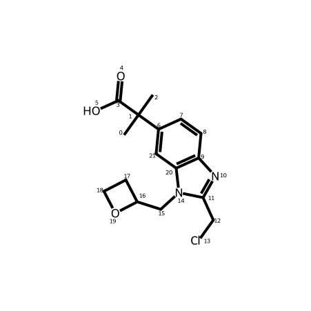 CC(C)(C(=O)O)c1ccc2nc(CCl)n(CC3CCO3)c2c1